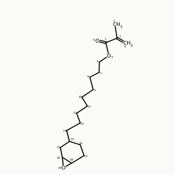 C=C(C)C(=O)OCCCCCCCCCC1CCC2OC2C1